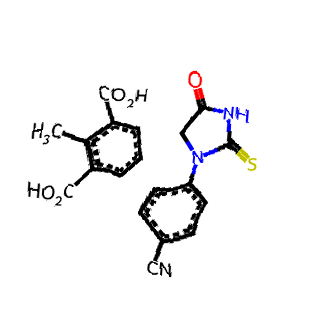 Cc1c(C(=O)O)cccc1C(=O)O.N#Cc1ccc(N2CC(=O)NC2=S)cc1